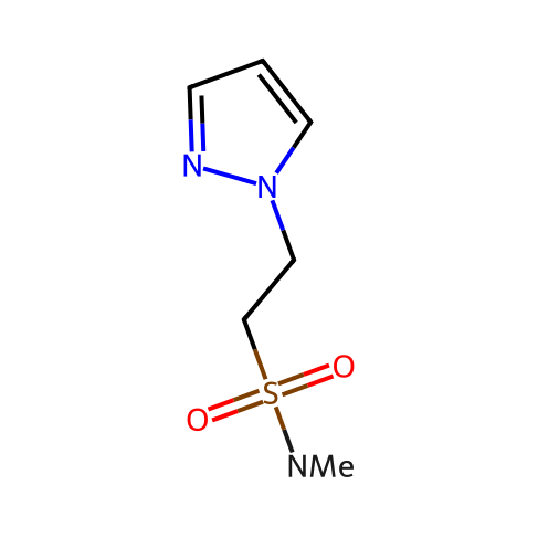 CNS(=O)(=O)CCn1cccn1